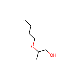 [CH2]CCCOC(C)CO